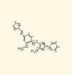 COc1cc(/C=C/C2OCCO2)ccc1OCc1nc(-c2ccccc2)oc1C